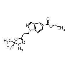 CCOC(=O)c1ccc2c(cnn2CCC(=O)OC(C)(C)C)c1